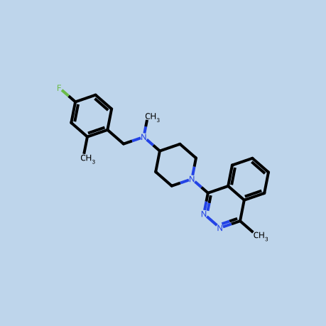 Cc1cc(F)ccc1CN(C)C1CCN(c2nnc(C)c3ccccc23)CC1